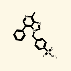 Cc1ncc(-c2ccccc2)c2c1ncn2Cc1ccc(S(N)(=O)=O)cc1